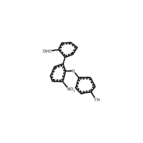 N#Cc1ccc(Oc2c(-c3ccccc3C=O)cccc2[N+](=O)[O-])cc1